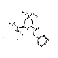 CC1(C)CC(NCc2cccnc2)=CC(=C(N)N)C1